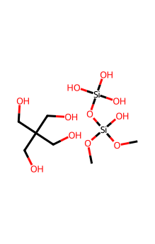 CO[Si](O)(OC)O[Si](O)(O)O.OCC(CO)(CO)CO